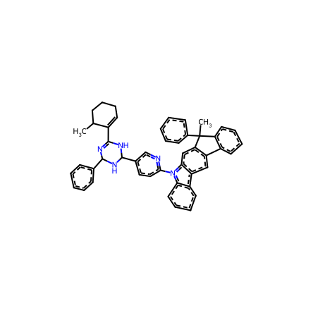 CC1CCCC=C1C1=NC(c2ccccc2)NC(c2ccc(-n3c4ccccc4c4cc5c(cc43)C(C)(c3ccccc3)c3ccccc3-5)nc2)N1